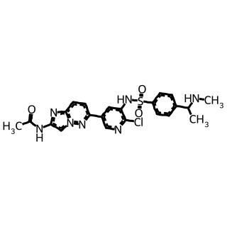 CNC(C)c1ccc(S(=O)(=O)Nc2cc(-c3ccc4nc(NC(C)=O)cn4n3)cnc2Cl)cc1